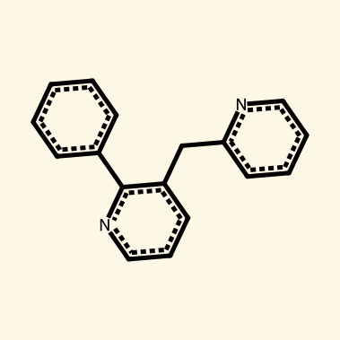 c1ccc(-c2ncccc2Cc2ccccn2)cc1